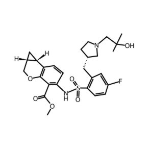 COC(=O)c1c(NS(=O)(=O)c2ccc(F)cc2C[C@@H]2CCN(CC(C)(C)O)C2)ccc2c1OC[C@@H]1C[C@H]21